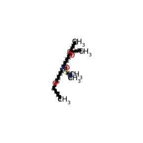 CCCCCC/C=C\COCCCCCCCCN(CCCCCCCC(=O)OC(CCCCC)CCCCC)C(=O)SCCN(C)C